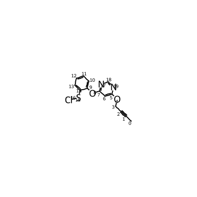 CC#CCOc1cc(Oc2ccccc2SCl)ncn1